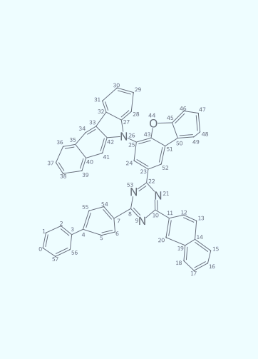 c1ccc(-c2ccc(-c3nc(-c4ccc5ccccc5c4)nc(-c4cc(-n5c6ccccc6c6cc7ccccc7cc65)c5oc6ccccc6c5c4)n3)cc2)cc1